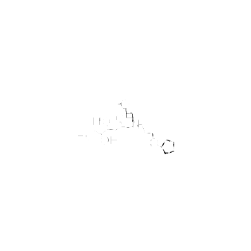 COCCN(CCCOc1ccccc1)C[C@H](O)C[C@H](O)[C@H](O)CO